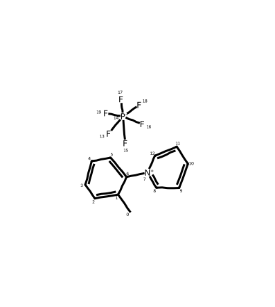 Cc1ccccc1-[n+]1ccccc1.F[P-](F)(F)(F)(F)F